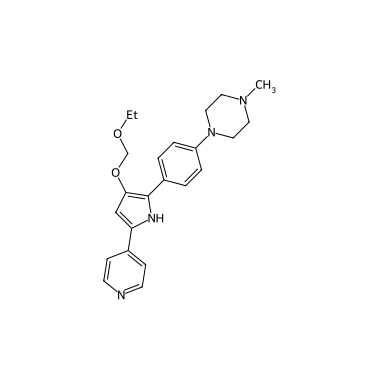 CCOCOc1cc(-c2ccncc2)[nH]c1-c1ccc(N2CCN(C)CC2)cc1